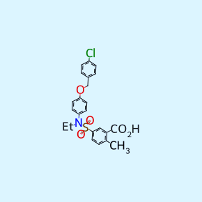 CCN(c1ccc(OCc2ccc(Cl)cc2)cc1)S(=O)(=O)c1ccc(C)c(C(=O)O)c1